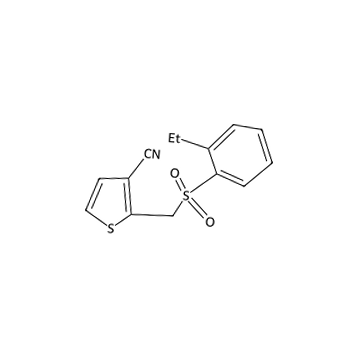 CCc1ccccc1S(=O)(=O)Cc1sccc1C#N